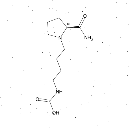 NC(=O)[C@@H]1CCCN1CCCCNC(=O)O